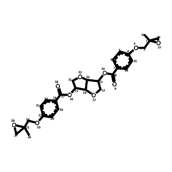 CC1(COc2ccc(C(=O)OC3COC4C(OC(=O)c5ccc(OCC6(C)CO6)cc5)COC34)cc2)CO1